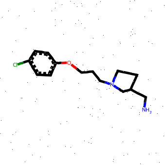 NCC1CCN(CCCOc2ccc(Cl)cc2)C1